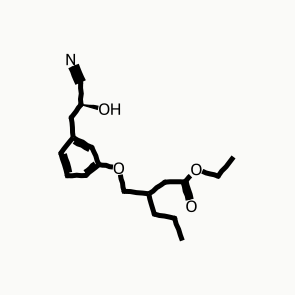 CCCC(COc1cccc(C[C@H](O)C#N)c1)CC(=O)OCC